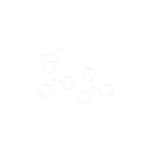 BBBCC.[Ni].c1ccc(P(c2ccccc2)c2ccccc2)cc1.c1ccc(P(c2ccccc2)c2ccccc2)cc1